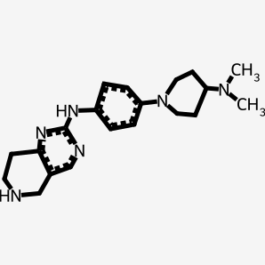 CN(C)C1CCN(c2ccc(Nc3ncc4c(n3)CCNC4)cc2)CC1